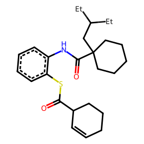 CCC(CC)CC1(C(=O)Nc2ccccc2SC(=O)C2C=CCCC2)CCCCC1